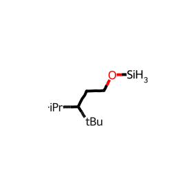 C[C](C)C(CCO[SiH3])C(C)(C)C